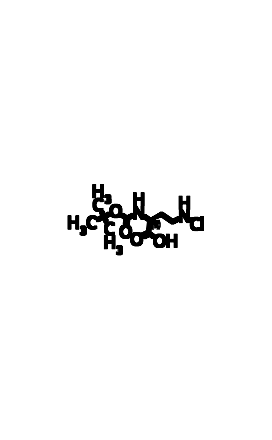 CC(C)(C)OC(=O)N[C@@H](CCNCl)C(=O)O